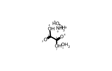 N.O.O=C(O)C(=O)O.[2H]O